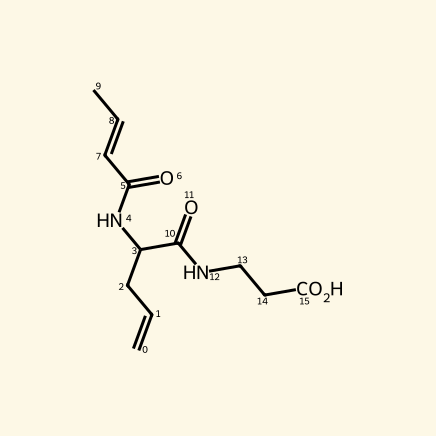 C=CCC(NC(=O)/C=C/C)C(=O)NCCC(=O)O